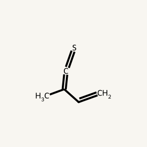 C=CC(C)=C=S